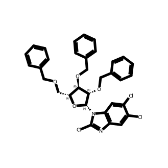 Clc1cc2nc(Cl)n([C@@H]3O[C@H](COCc4ccccc4)[C@@H](OCc4ccccc4)[C@@H]3OCc3ccccc3)c2cc1Cl